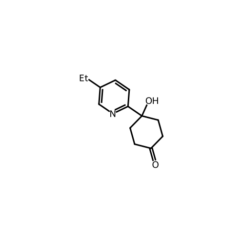 CCc1ccc(C2(O)CCC(=O)CC2)nc1